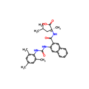 Cc1cc(C)c(NC(=O)Nc2cc3ccccc3cc2C(=O)N[C@@](C)(CC(C)C)C(=O)O)c(C)c1